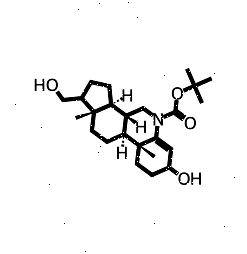 CC(C)(C)OC(=O)N1C[C@@H]2[C@H](CC[C@]3(C)C(CO)CC[C@@H]23)[C@@]2(C)CCC(O)C=C12